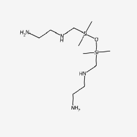 C[Si](C)(CNCCN)O[Si](C)(C)CNCCN